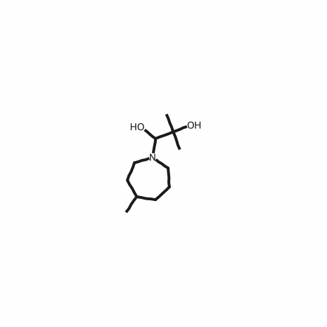 CC1CCCN(C(O)C(C)(C)O)CC1